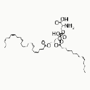 CC/C=C\C/C=C\C/C=C\C/C=C\C/C=C\C/C=C\CCC(=O)OC[C@H](COP(=O)(O)OC[C@H](N)C(=O)O)OC(=O)CCCCCCC/C=C\CCCC